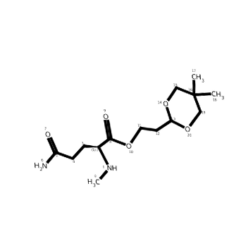 CN[C@@H](CCC(N)=O)C(=O)OCCC1OCC(C)(C)CO1